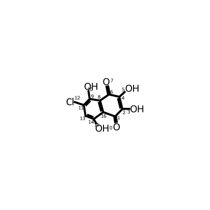 O=C1C(O)=C(O)C(=O)c2c(O)c(Cl)cc(O)c21